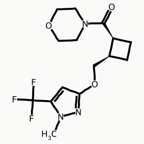 Cn1nc(OC[C@@H]2CC[C@@H]2C(=O)N2CCOCC2)cc1C(F)(F)F